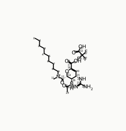 CCCCCCCCCCN(C)C(=O)[C@@H]1OC(C(=O)O)=C[C@H](NC(=N)N)[C@H]1NC(C)=O.O=C(O)C(F)(F)F